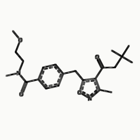 COCCN(C)C(=O)c1ccc(Cc2onc(C)c2C(=O)CC(C)(C)C)cc1